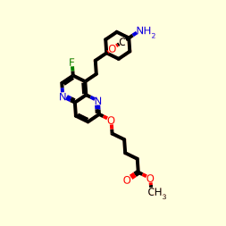 COC(=O)CCCCOc1ccc2ncc(F)c(CCC34CCC(N)(CC3)CO4)c2n1